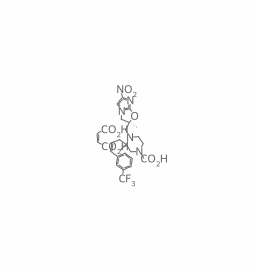 CC1(C/C=C\c2cccc(C(F)(F)F)c2)CN(C(=O)O)CCN1C[C@@]1(C)Cn2cc([N+](=O)[O-])nc2O1.O=C(O)/C=C\C(=O)O